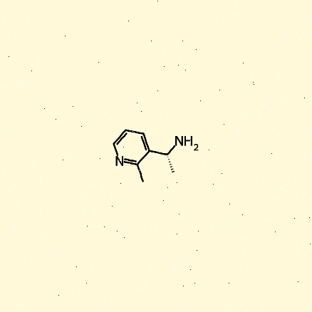 Cc1ncccc1[C@@H](C)N